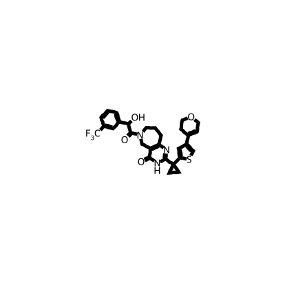 O=C(C(O)c1cccc(C(F)(F)F)c1)N1CCCc2nc(C3(c4cc(C5=CCOCC5)cs4)CC3)[nH]c(=O)c2C1